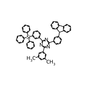 Cc1cc(C)cc(-c2nc(-c3cccc(C4c5ccccc5-c5ccccc54)c3)nc(-c3cccc([Si](c4ccccc4)(c4ccccc4)c4ccccc4)c3)n2)c1